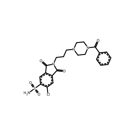 NS(=O)(=O)c1cc2c(cc1Cl)C(=O)N(CCCN1CCN(C(=O)c3ccccc3)CC1)C2=O